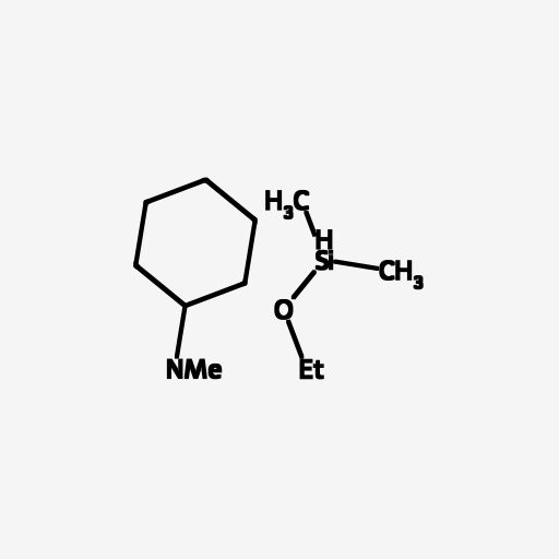 CCO[SiH](C)C.CNC1CCCCC1